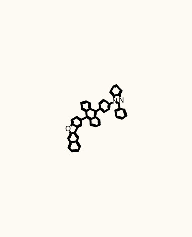 c1ccc(-c2nc3ccccc3n2-c2ccc(-c3c4ccccc4c(-c4ccc5oc6cc7ccccc7cc6c5c4)c4ccccc34)cc2)cc1